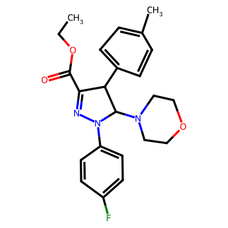 CCOC(=O)C1=NN(c2ccc(F)cc2)C(N2CCOCC2)C1c1ccc(C)cc1